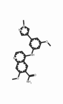 COc1cc(Nc2ccnc3cc(OC)c(C(N)=O)cc23)cc(-c2cnn(C)c2)c1